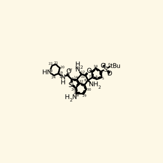 CC(C)(C)S(=O)(=O)c1ccc(C2(N)C(=O)C(N)c3c(C(=O)NC4CCCNC4)sc4c(N)ccc2c34)cc1